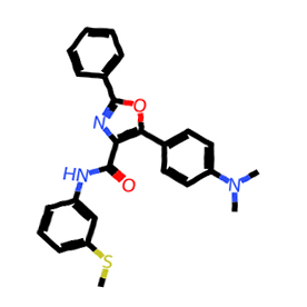 CSc1cccc(NC(=O)c2nc(-c3ccccc3)oc2-c2ccc(N(C)C)cc2)c1